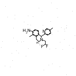 Cc1ccc(C2c3ccc(N)c(C)c3C[C@@H](C)N2CC(F)F)nc1